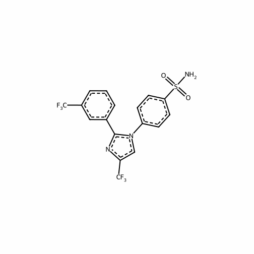 NS(=O)(=O)c1ccc(-n2cc(C(F)(F)F)nc2-c2cccc(C(F)(F)F)c2)cc1